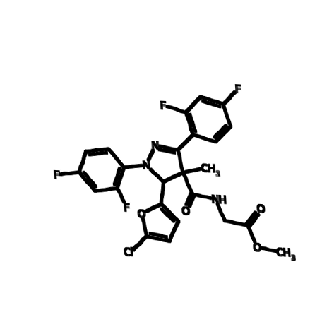 COC(=O)CNC(=O)C1(C)C(c2ccc(F)cc2F)=NN(c2ccc(F)cc2F)C1c1ccc(Cl)o1